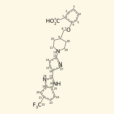 O=C(O)c1ccccc1OCC1CCN(c2ccc(-c3nc4cc(C(F)(F)F)ccc4[nH]3)cn2)CC1